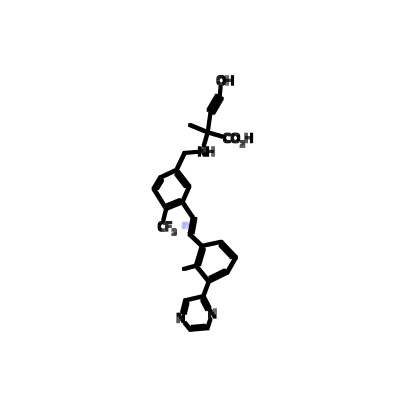 Cc1c(/C=C/c2cc(CNC(C)(C#CO)C(=O)O)ccc2C(F)(F)F)cccc1-c1cnccn1